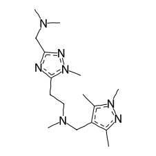 Cc1nn(C)c(C)c1CN(C)CCc1nc(CN(C)C)nn1C